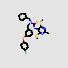 CSc1nc(C)nc(SC)c1NC(=O)N(Cc1ccccc1)Cc1cccc(Oc2ccc(F)cc2)c1